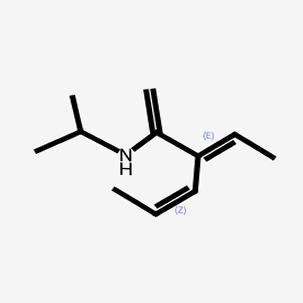 C=C(NC(C)C)C(/C=C\C)=C/C